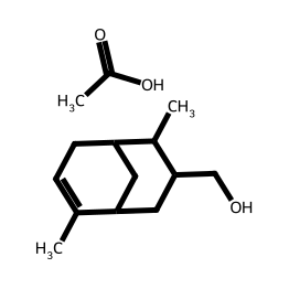 CC(=O)O.CC1=CCC2CC1CC(CO)C2C